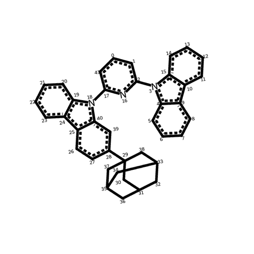 c1cc(-n2c3ccccc3c3ccccc32)nc(-n2c3ccccc3c3ccc(C45CC6CC(CC(C6)C4)C5)cc32)c1